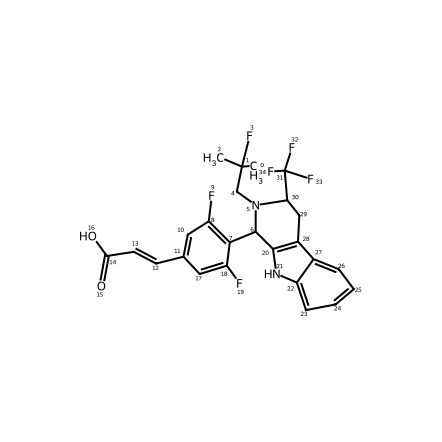 CC(C)(F)CN1C(c2c(F)cc(/C=C/C(=O)O)cc2F)c2[nH]c3ccccc3c2CC1C(F)(F)F